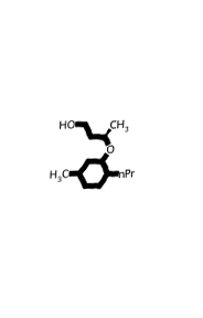 CCCC1CCC(C)CC1O[C@H](C)CCO